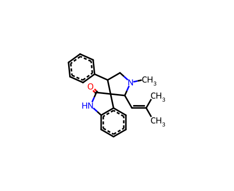 CC(C)=CC1N(C)CC(c2ccccc2)C12C(=O)Nc1ccccc12